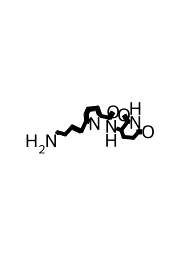 NCC/C=C/c1cccc(C(=O)NC2CCC(=O)NC2=O)n1